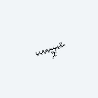 C=CC(=O)OCC(CCCCOCCCCCC)OC(=O)C=C